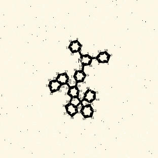 c1ccc(-c2cc(-c3ccccc3)nc(-c3ccc(-c4cc5c(cc4-c4cccc6ccccc46)-c4ccccc4C5(c4ccccc4)c4ccccc4)cc3)c2)cc1